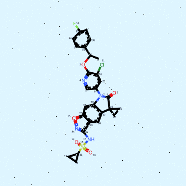 CC(Oc1ncc(N2C(=O)C3(CC3)c3cc4c(NS(=O)(=O)C5CC5)noc4cc32)cc1Cl)c1ccc(F)cc1